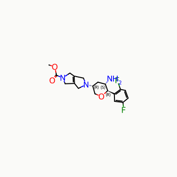 COC(=O)N1CC2=C(C1)CN([C@H]1CO[C@H](c3cc(F)ccc3F)[C@@H](N)C1)C2